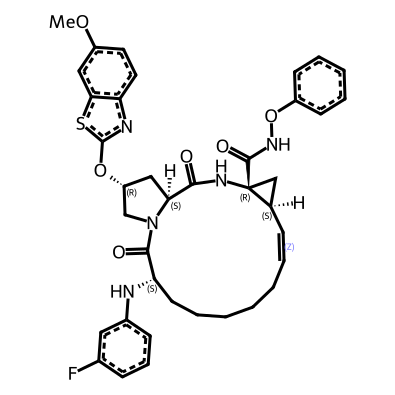 COc1ccc2nc(O[C@@H]3C[C@H]4C(=O)N[C@]5(C(=O)NOc6ccccc6)C[C@H]5/C=C\CCCCC[C@H](Nc5cccc(F)c5)C(=O)N4C3)sc2c1